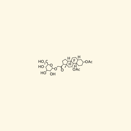 CC(=O)O[C@H]1CC[C@H]2[C@@H](CC[C@H]3[C@@H]4CC[C@H](C(=O)COC5O[C@H](C(=O)O)[C@@H](O)[C@H](O)[C@H]5O)[C@@]4(C)C[C@@H](OC(C)=O)[C@]23F)C1